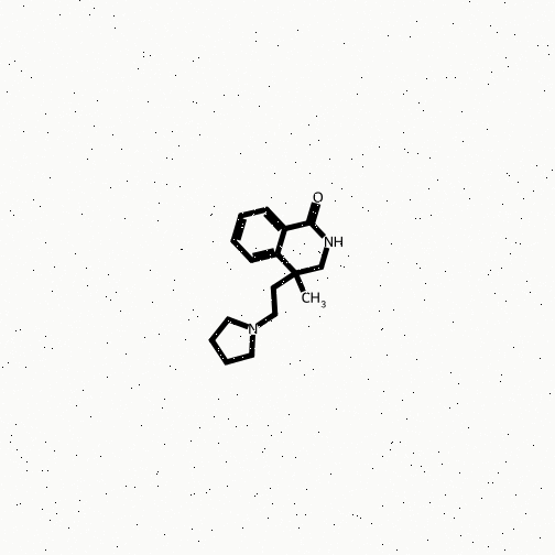 CC1(CCN2CCCC2)CNC(=O)c2ccccc21